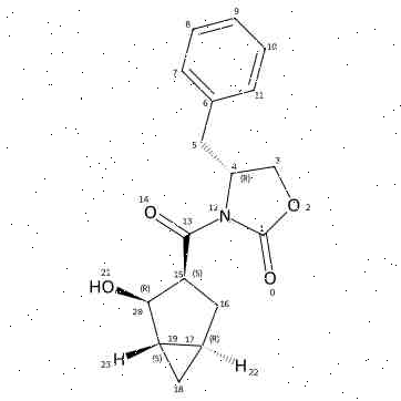 O=C1OC[C@@H](Cc2ccccc2)N1C(=O)[C@H]1C[C@H]2C[C@@H]2[C@H]1O